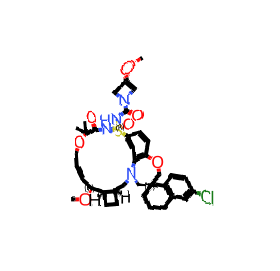 COC1CN(C(=O)N[S@@]2(=O)=NC(=O)C(C)(C)OCC=C[C@H](OC)[C@@H]3CC[C@H]3CN3C[C@@]4(CCCc5cc(Cl)ccc54)COc4ccc2cc43)C1